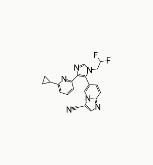 N#Cc1cnc2ccc(-c3c(-c4cccc(C5CC5)n4)ncn3CC(F)F)cn12